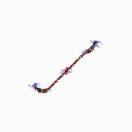 C/C(=C\c1cc(F)c(Oc2ccc(S(=O)(=O)NCCOCCOCCOCCOCCOCCOCCNC(=O)[C@H](O)[C@@H](O)C(=O)NCCOCCOCCOCCOCCOCCOCCNS(=O)(=O)c3ccc(Oc4c(F)cc(/C=C(\C)C(=O)N=C(N)N)cc4F)cc3)cc2)c(F)c1)C(=O)N=C(N)N